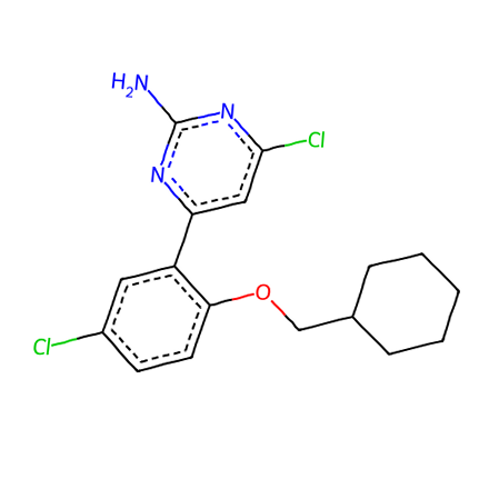 Nc1nc(Cl)cc(-c2cc(Cl)ccc2OCC2CCCCC2)n1